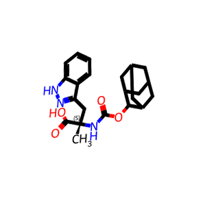 C[C@@](Cc1n[nH]c2ccccc12)(NC(=O)OC1C2CC3CC(C2)CC1C3)C(=O)O